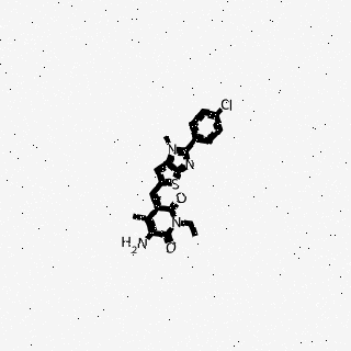 CCN1C(=O)C(N)=C(C)/C(=C/c2cc3c(nc(-c4ccc(Cl)cc4)n3C)s2)C1=O